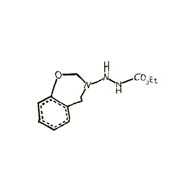 CCOC(=O)NNN1COc2ccccc2C1